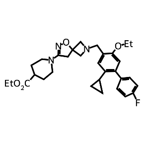 CCOC(=O)C1CCN(C2=NOC3(C2)CN(Cc2cc(C4CC4)c(-c4ccc(F)cc4)cc2OCC)C3)CC1